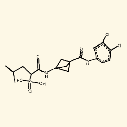 CC(C)CC(C(=O)NC12CC(C(=O)Nc3ccc(Cl)c(Cl)c3)(C1)C2)P(=O)(O)O